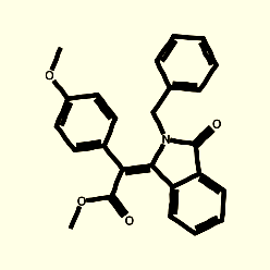 COC(=O)/C(=C1\c2ccccc2C(=O)N1Cc1ccccc1)c1ccc(OC)cc1